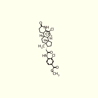 COC(=O)c1ccc(NC(=O)C[C@H]2CC[C@H]3[C@@H]4CC(Cl)=C5NC(=O)CC[C@]5(C)[C@H]4CC[C@]23C)c(Cl)c1